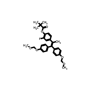 COCOc1ccc(C(=C(C)c2ccc(OC(=O)C(C)(C)C)c(F)c2)c2ccc(OCOC)cc2)cc1